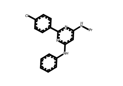 CC(C)Nc1cc(Nc2ccccc2)nc(-c2ccc(Cl)cc2)n1